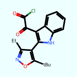 CCc1noc(C(C)(C)C)c1-c1[nH]c2ccccc2c1C(=O)C(=O)Cl